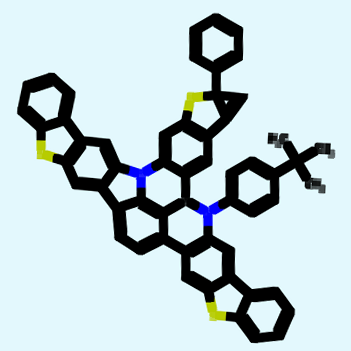 CC(C)(C)c1ccc(N2B3c4cc5c(cc4-n4c6cc7c(cc6c6ccc(c3c64)-c3cc4sc6ccccc6c4cc32)sc2ccccc27)SC2(c3ccccc3)C=C52)cc1